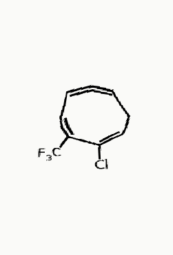 FC(F)(F)C1=C/C=C=CC/C=C\1Cl